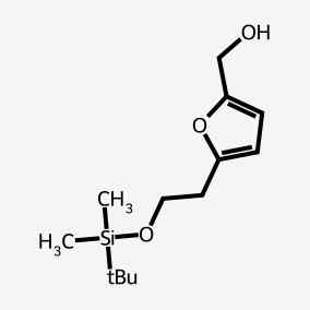 CC(C)(C)[Si](C)(C)OCCc1ccc(CO)o1